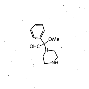 COC(C=O)(c1ccccc1)N1CCNCC1